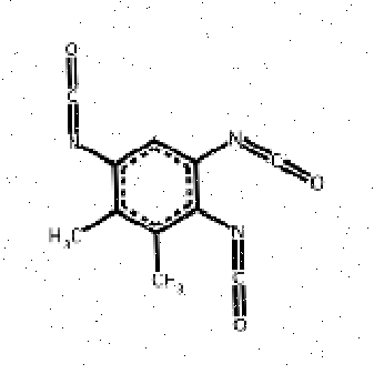 Cc1c(N=C=O)cc(N=C=O)c(N=C=O)c1C